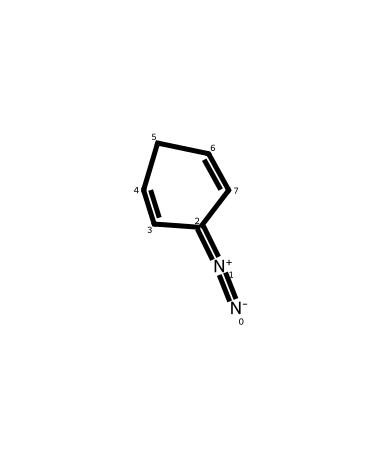 [N-]=[N+]=C1C=CCC=C1